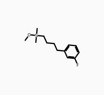 CO[Si](C)(C)CCCCc1cccc(F)c1